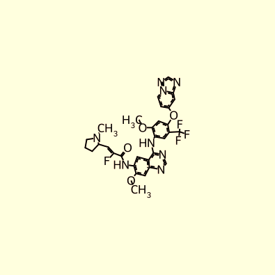 COc1cc2ncnc(Nc3cc(C(F)(F)F)c(Oc4ccn5ncnc5c4)cc3OC)c2cc1NC(=O)C(F)=CC1CCCN1C